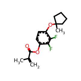 C=C(C)C(=O)Oc1ccc(OC2(C)CCCC2)c(F)c1F